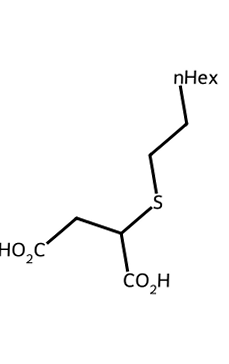 CCCCCCCCSC(CC(=O)O)C(=O)O